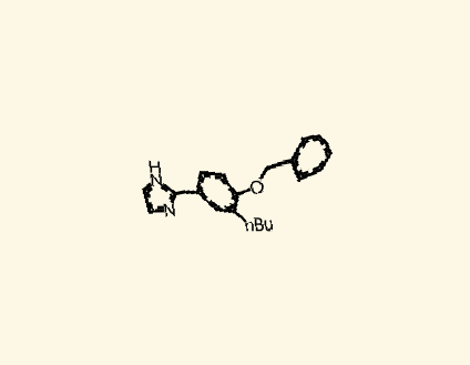 CCCCc1cc(-c2ncc[nH]2)ccc1OCc1ccccc1